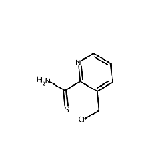 NC(=S)c1ncccc1CCl